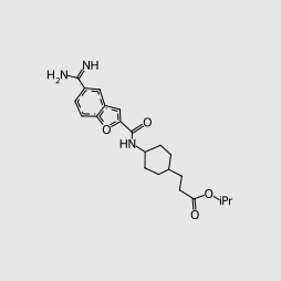 CC(C)OC(=O)CCC1CCC(NC(=O)c2cc3cc(C(=N)N)ccc3o2)CC1